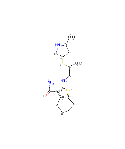 NC(=O)c1c(NCC(C=O)SC2CNC(C(=O)O)C2)sc2c1CCCC2